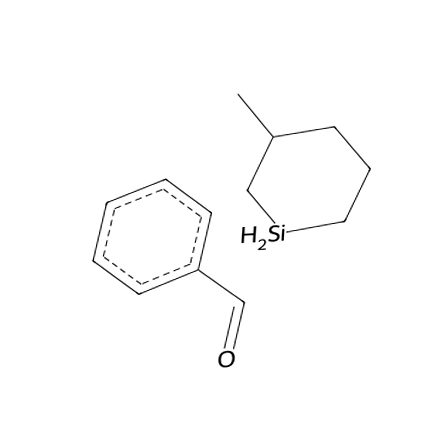 CC1CCC[SiH2]C1.O=Cc1ccccc1